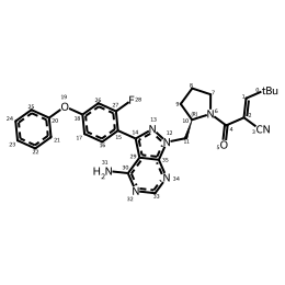 CC(C)(C)C=C(C#N)C(=O)N1CCC[C@@H]1Cn1nc(-c2ccc(Oc3ccccc3)cc2F)c2c(N)ncnc21